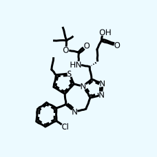 CCc1cc2c(s1)-n1c(nnc1[C@@H](CCC(=O)O)NC(=O)OC(C)(C)C)CN=C2c1ccccc1Cl